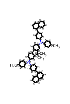 Cc1ccc(N(c2ccc(-c3cccc4ccccc34)cc2)c2ccc3c(c2)C(C)(C)c2cc(N(c4ccc(C)cc4)c4ccc(-c5cccc6ccccc56)cc4)ccc2-3)cc1